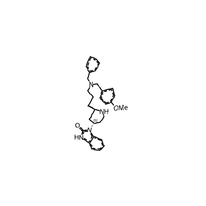 COc1ccc(CN(CCCC2C[C@@H](n3c(=O)[nH]c4ccccc43)CCN2)Cc2ccccc2)cc1